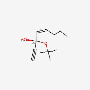 C#C[C@](O)(/C=C\CCC)OC(C)(C)C